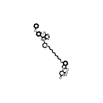 Nc1ncnc2c1c(-c1ccc(Oc3ccccc3)cc1)nn2C1CCCN(CCCCCCCCCSc2cccc3c2CN(C2CCC(=O)NC2=O)C3=O)C1